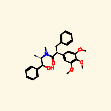 COc1cc([C@H](Cc2ccccc2)C(=O)N(C)[C@@H](C)[C@@H](O)c2ccccc2)cc(OC)c1OC